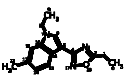 CCc1nc(-c2cn(CC)c3cc(C)ccc23)no1